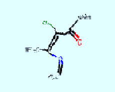 C=N/C(=C(/Cl)C(=O)NC)C(F)(F)F